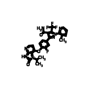 Cc1cccnc1-n1nc(-c2ccc(Oc3ccnc4[nH]c(=O)n(C(C)C)c34)c(F)c2)c(C(N)=O)c1C(F)(F)F